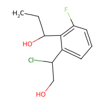 [CH2]CC(O)c1c(F)cccc1C(Cl)CO